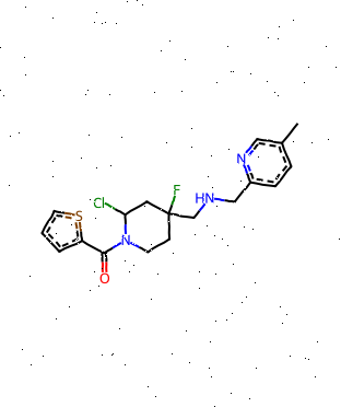 Cc1ccc(CNCC2(F)CCN(C(=O)c3cccs3)C(Cl)C2)nc1